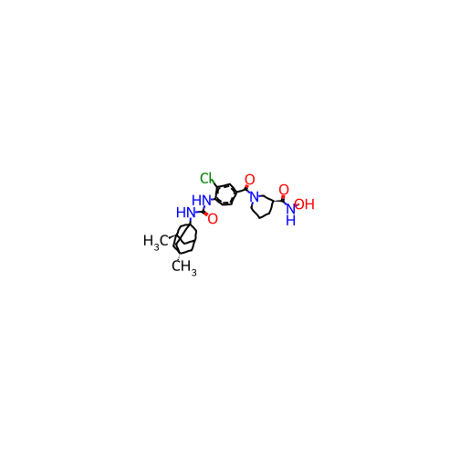 C[C@]12CC3CC(NC(=O)Nc4ccc(C(=O)N5CCC[C@H](C(=O)NO)C5)cc4Cl)(C1)C[C@@](C)(C3)C2